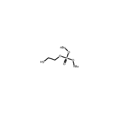 CCCCOP(=O)(OCCS)OCCCC